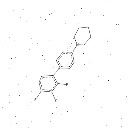 Fc1ccc(-c2ccc(N3CCCCC3)cc2)c(F)c1F